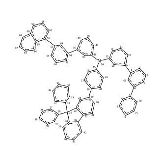 c1ccc(-c2cccc(-c3cccc(N(c4ccc(-c5ccc6c(c5)C(c5ccccc5)(c5ccccc5)c5ccccc5-6)cc4)c4cccc(-c5cccc(-c6cccc7ccccc67)c5)c4)c3)c2)cc1